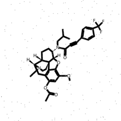 COc1cc(OC(C)=O)c2c3c1O[C@H]1[C@@H](N(CC(C)C)C(=O)C#Cc4ccc(C(F)(F)F)cc4)CC[C@H]4[C@@H](C2)N(C)CC[C@@]341